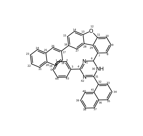 c1ccc(C2=NC(c3cccc4oc5ccc(-c6ccc7ccccc7c6)cc5c34)NC(c3cccc4ccccc34)=N2)cc1